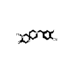 CCN1CC2(CCN(Cc3ccc(C#N)c(F)c3)CC2)OCC1=O